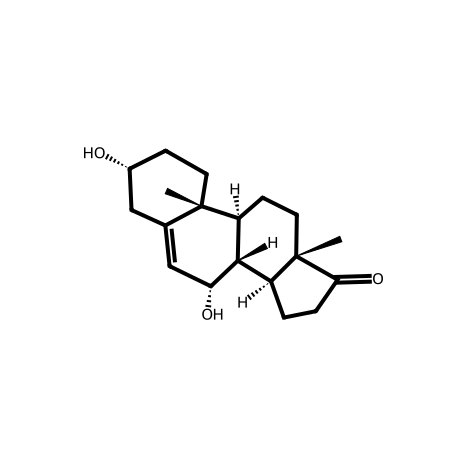 C[C@]12CC[C@@H](O)CC1=C[C@@H](O)[C@@H]1[C@@H]2CC[C@]2(C)C(=O)CC[C@@H]12